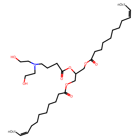 CCCCCCCC/C=C\CCCCCCCC(=O)OCC(COC(=O)CCCCCCC/C=C\CCCCCCCC)OC(=O)CCCN(CCO)CCO